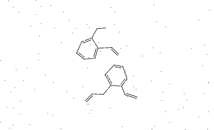 C=CCc1ccccc1C=C.C=Cc1ccccc1CC